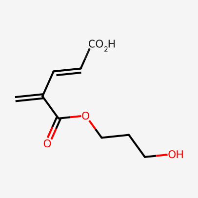 C=C(C=CC(=O)O)C(=O)OCCCO